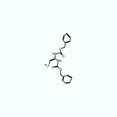 CC=C(NC(=O)OCc1ccccc1)NC(=O)OCc1ccccc1